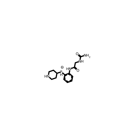 NC(=O)NCC(=O)Nc1ccccc1[PH](=O)C1CCNCC1